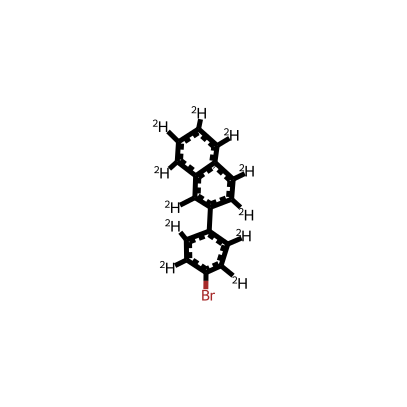 [2H]c1c([2H])c(-c2c([2H])c([2H])c3c([2H])c([2H])c([2H])c([2H])c3c2[2H])c([2H])c([2H])c1Br